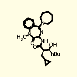 CCCC[C@H](O)[C@@H](CC1CC1)C(=O)NC1N=C(N2CCCCCC2)c2ccccc2N(C)C1=O